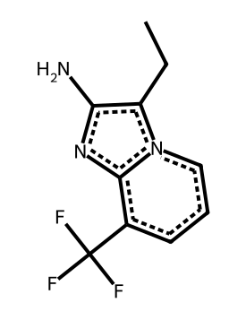 CCc1c(N)nc2c(C(F)(F)F)cccn12